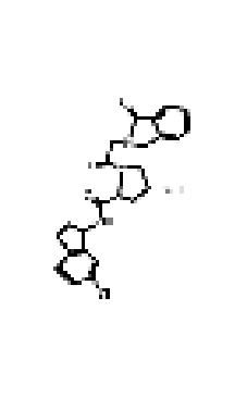 C[C@@H](C(=O)N1C[C@H](O)C[C@H]1C(=O)NC1CCc2ccc(Cl)cc21)N1Cc2ccccc2C1=O